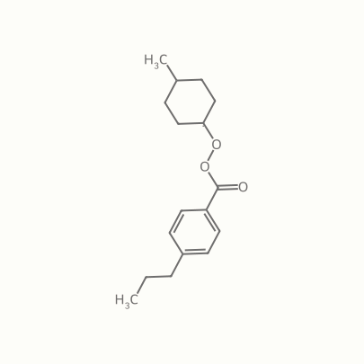 CCCc1ccc(C(=O)OO[C]2CCC(C)CC2)cc1